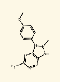 COc1ccc(N2c3nc(N)ncc3NN2C)cc1